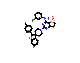 Cc1ccc(C(=O)C2(c3ccc(F)cc3)CCN(c3nc4c(c(Nc5cccc(F)c5)n3)[S+]([O-])CC4)CC2)cc1